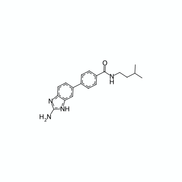 CC(C)CCNC(=O)c1ccc(-c2ccc3nc(N)[nH]c3c2)cc1